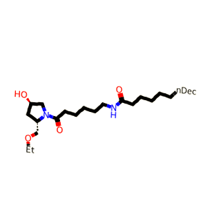 CCCCCCCCCCCCCCCC(=O)NCCCCCC(=O)N1C[C@H](O)C[C@H]1COCC